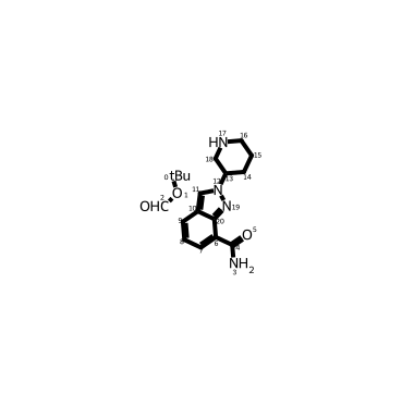 CC(C)(C)OC=O.NC(=O)c1cccc2cn(C3CCCNC3)nc12